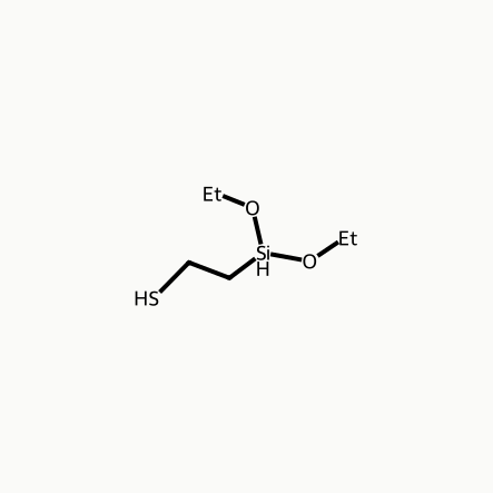 CCO[SiH](CCS)OCC